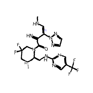 CN/C=C(\C(=N)C(=O)N1CC(F)(F)C[C@@H](C)C1CNc1ncc(C(F)(F)F)cn1)n1nccn1